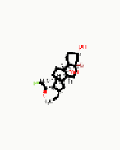 CC[C@@H]1C[C@H]2[C@@H]3CC[C@@]4(Br)C[C@@H](O)CC[C@]4(CO)[C@H]3CC[C@]2(C)[C@H]1C(=O)CF